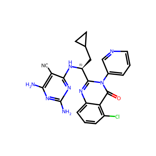 N#Cc1c(N)nc(N)nc1N[C@@H](CC1CC1)c1nc2cccc(Cl)c2c(=O)n1-c1cccnc1